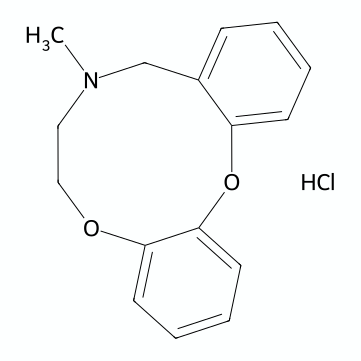 CN1CCOc2ccccc2Oc2ccccc2C1.Cl